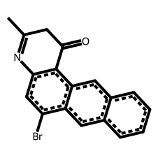 CC1=Nc2cc(Br)c3cc4ccccc4cc3c2C(=O)C1